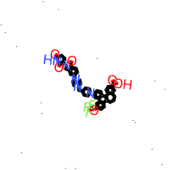 O=C1CC[C@H](N2Cc3cc(N4CCN(CC5CCN(c6ccc(C7=C(c8ccc(OC(F)(F)F)cc8)CCCc8cc(C(=O)O)ccc87)cc6)CC5)CC4)ccc3C2=O)C(=O)N1